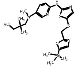 CN(CC(C)(C)CO)c1ccc(Nc2ncc(SCc3ncc([Si](C)(C)C)o3)s2)nc1